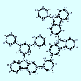 c1ccc(-c2cc(-c3ccccc3)nc(-n3c4ccccc4c4ccc(-c5cncc(-c6ccc7c(c6)c6ccccc6n7-c6ccc7c(c6)c6ncccc6n7-c6ccccc6)n5)cc43)n2)cc1